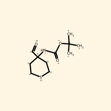 CC(C)(C)OC(=O)NC1([C]=O)CCSCC1